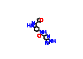 Cc1nc2[nH]cnc2cc1C(=O)Nc1ccc2[nH]nc(-c3ccoc3)c2c1